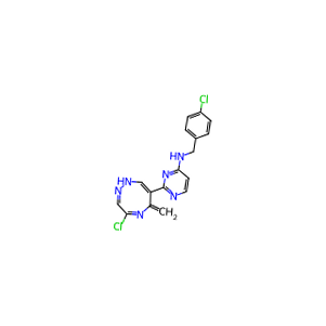 C=C1/N=C(Cl)\C=N/N/C=C\1c1nccc(NCc2ccc(Cl)cc2)n1